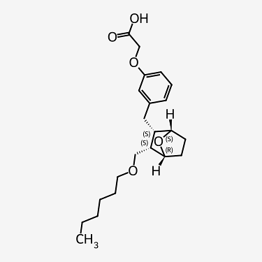 CCCCCCOC[C@@H]1[C@H](Cc2cccc(OCC(=O)O)c2)[C@@H]2CC[C@H]1O2